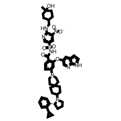 CC1(O)CCC(CNc2ncc(S(=O)(=O)NC(=O)c3ccc(N4CCC5(CCC(N6CCC[C@@H]6c6ccccc6C6CC6)CC5)CC4)cc3Oc3cnc4[nH]ccc4c3)cc2[N+](=O)[O-])CC1